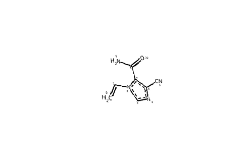 C=Cn1cnc(C#N)c1C(N)=O